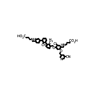 Cc1c(COc2cc(OCc3cncc(C#N)c3)c(CNCCCC(=O)O)cc2Cl)cccc1-c1cccc(-c2ccc(CNCCCC(=O)O)cc2)c1C